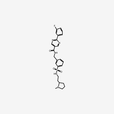 CN1CCCC1CCNS(=O)(=O)c1cccc(CNC(=O)c2cnc(-c3cccc(F)c3)nc2)c1